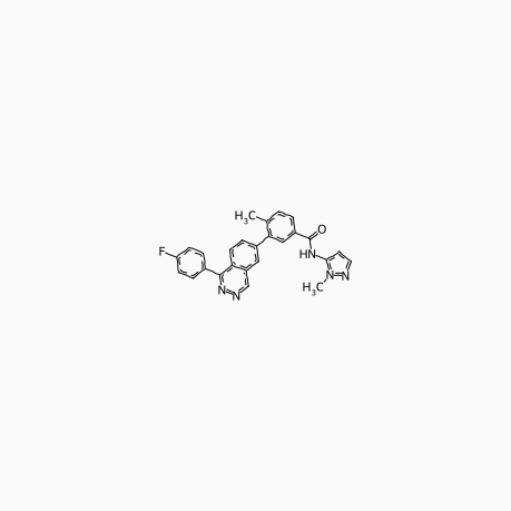 Cc1ccc(C(=O)Nc2ccnn2C)cc1-c1ccc2c(-c3ccc(F)cc3)nncc2c1